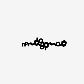 CCC/C=C/c1cc(C)c2c(c1)C1Oc3c(C)cc(/C=C/CCOCc4ccccc4)cc3C(O2)O1